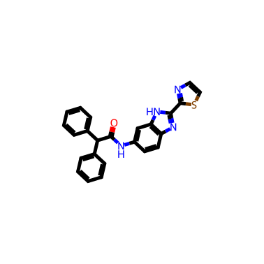 O=C(Nc1ccc2nc(-c3nccs3)[nH]c2c1)C(c1ccccc1)c1ccccc1